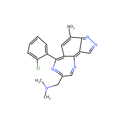 CN(C)Cc1cnc2c(cc([N+](=O)[O-])c3nncc32)c(-c2ccccc2Cl)n1